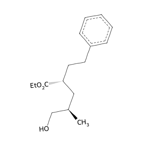 CCOC(=O)[C@H](CCc1ccccc1)C[C@@H](C)CO